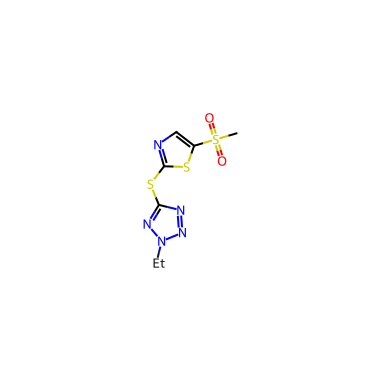 CCn1nnc(Sc2ncc(S(C)(=O)=O)s2)n1